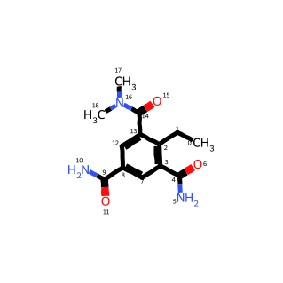 CCc1c(C(N)=O)cc(C(N)=O)cc1C(=O)N(C)C